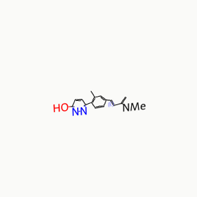 C=C(/C=C/c1ccc(-c2ccc(O)nn2)c(C)c1)NC